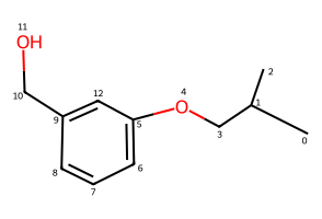 CC(C)COc1cccc(CO)c1